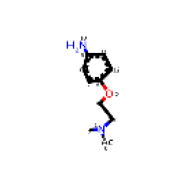 CC(=O)N(C)CCOc1ccc(N)cc1